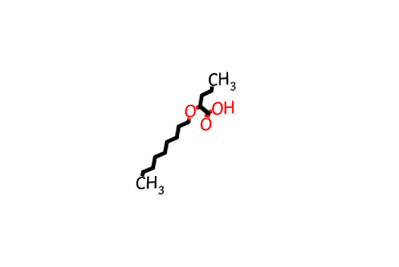 CCCCCCCCCOC(CCC)C(=O)O